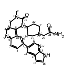 CN1Cc2cnc3ccc(-c4cnc5[nH]ccc5c4)nc3c2N(C2CCN(CC(N)=O)CC2)C1=O